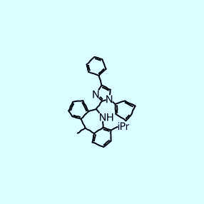 CC(C)c1cccc2c1NC(c1nc(-c3ccccc3)cn1-c1ccccc1)c1ccccc1C2C